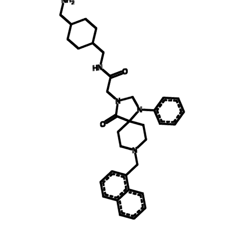 NCC1CCC(CNC(=O)CN2CN(c3ccccc3)C3(CCN(Cc4cccc5ccccc45)CC3)C2=O)CC1